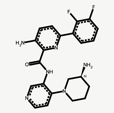 Nc1ccc(-c2cccc(F)c2F)nc1C(=O)Nc1cnccc1N1CCC[C@H](N)C1